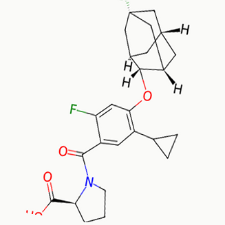 O=C(O)[C@@H]1CCCN1C(=O)c1cc(C2CC2)c(O[C@@H]2[C@@H]3C[C@H]4C[C@H]2C[C@](Cl)(C4)C3)cc1F